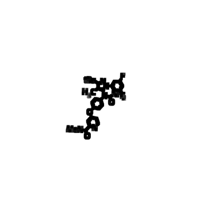 CNC(=O)c1cc(Oc2ccc(N(C(N)=O)c3c(C)c(C(C)(C)C)nn3-c3cc(F)cc(F)c3)cc2)ccn1